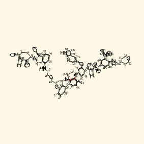 O=C1CCC(N2Cc3c(NCCOCCOc4cccc(-c5ccc(Cl)cc5)c4CN4CCN(c5ccc(C(=O)NS(=O)(=O)c6ccc(NCC7CCOCC7)c([N+](=O)[O-])c6)c(Oc6cnc7[nH]ccc7c6)c5)CC4)cccc3C2=O)C(=O)N1